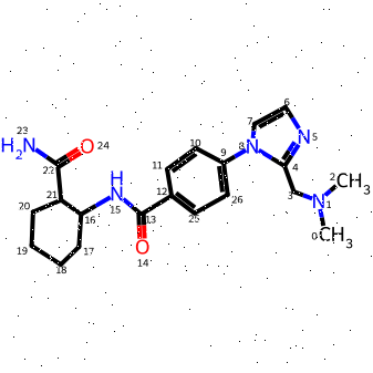 CN(C)Cc1nccn1-c1ccc(C(=O)NC2CCCCC2C(N)=O)cc1